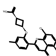 C=C(O)[C@H]1C[C@@H](Oc2cc(C)ccc2-c2cc(=O)c3c(O)ccc(Cl)c3o2)C1